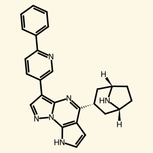 c1ccc(-c2ccc(-c3cnn4c3nc([C@H]3C[C@H]5CC[C@@H](C3)N5)c3cc[nH]c34)cn2)cc1